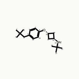 CC(C)(C)Cc1ccc(O[C@H]2C[C@H](NC(C)(C)C)C2)cc1